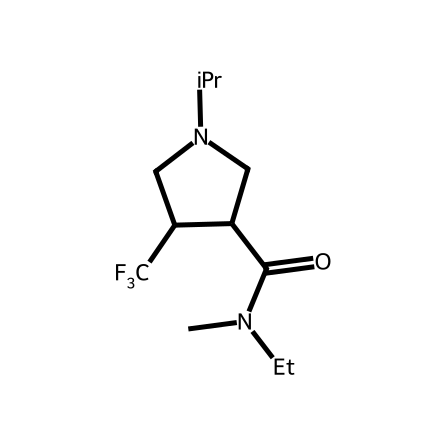 CCN(C)C(=O)C1CN(C(C)C)CC1C(F)(F)F